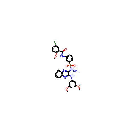 C=C(/C=C(\C=C(/C)OC)Nc1nc2ccccc2nc1N(N)S(=O)(=O)c1cccc(NC(=O)c2cc(F)ccc2OC)c1)OC